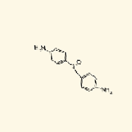 Nc1ccc(C[S+]([O-])c2ccc(N)cc2)cc1